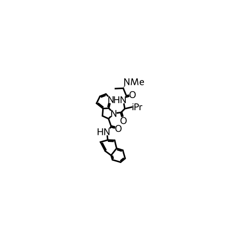 CN[C@@H](C)C(=O)NC(C(=O)N1c2ncccc2CC1C(=O)Nc1ccc2ccccc2c1)C(C)C